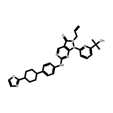 C=CCn1c(=O)c2cnc(Nc3ccc(C4CCC(c5ncco5)CC4)cc3)nc2n1-c1cccc(C(C)(C)O)n1